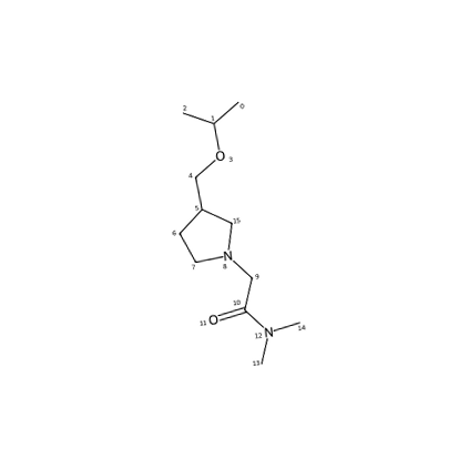 CC(C)OCC1CCN(CC(=O)N(C)C)C1